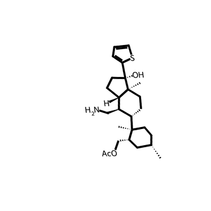 CC(=O)OC[C@H]1C[C@@H](C)CC[C@]1(C)[C@H]1CC[C@@]2(C)[C@@H](CC[C@@]2(O)c2cccs2)[C@@H]1CN